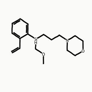 C=Cc1ccccc1[SiH](CCCN1CCOCC1)COC